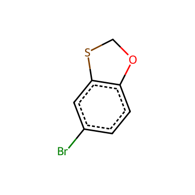 Brc1ccc2c(c1)SCO2